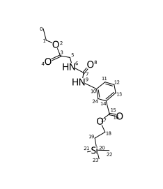 CCOC(=O)CNC(=O)Nc1cccc(C(=O)OCC[Si](C)(C)C)c1